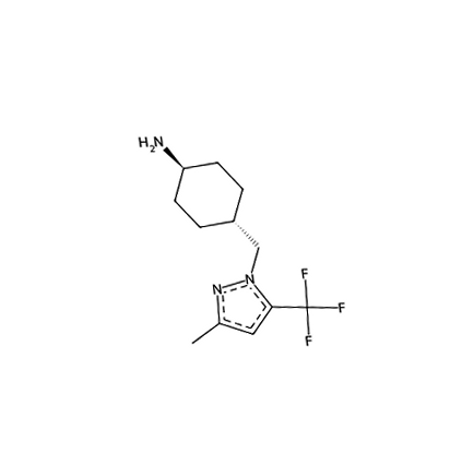 Cc1cc(C(F)(F)F)n(C[C@H]2CC[C@H](N)CC2)n1